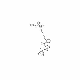 CC(C)(C)OC(=O)NCCCCCCCc1cccc2c1C(=O)N(C1CCC(=O)NC1=O)C2=O